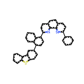 c1ccc(-c2ccc3ccc4ccc(-c5ccc(-c6ccc7sc8ccccc8c7c6)c6ccccc56)nc4c3n2)cc1